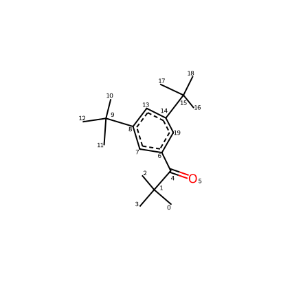 CC(C)(C)C(=O)c1cc(C(C)(C)C)cc(C(C)(C)C)c1